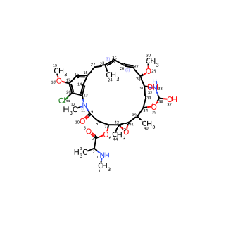 CNC(C)C(=O)OC1CC(=O)N(C)c2cc(cc(OC)c2Cl)C/C(C)=C/C=C/C(OC)C2(O)CC(OC(O)N2)C(C)C2OC12C